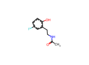 CC(=O)NCCc1cc(F)ccc1O